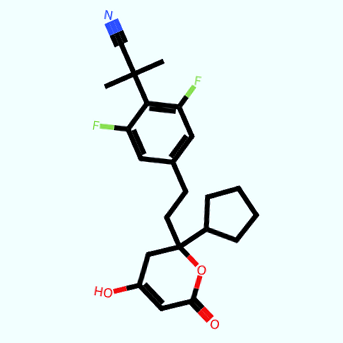 CC(C)(C#N)c1c(F)cc(CCC2(C3CCCC3)CC(O)=CC(=O)O2)cc1F